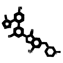 C[C@H]1CCCN(Cc2cc3c(c(C(F)(F)F)c2)CN(c2cc(-c4ccc(C#N)cc4-c4nncn4C)cc(Cl)n2)C3=O)C1